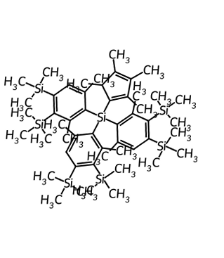 CC1=C(C)C(C)C([Si](c2c(C)cc([Si](C)(C)C)c([Si](C)(C)C)c2C)(c2c(C)cc([Si](C)(C)C)c([Si](C)(C)C)c2C)c2c(C)cc([Si](C)(C)C)c([Si](C)(C)C)c2C)=C1C